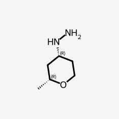 C[C@@H]1C[C@H](NN)CCO1